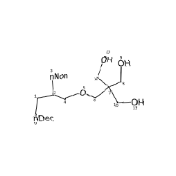 CCCCCCCCCCCC(CCCCCCCCC)COCC(CO)(CO)CO